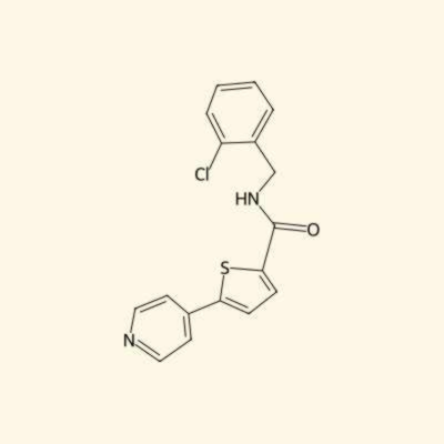 O=C(NCc1ccccc1Cl)c1ccc(-c2ccncc2)s1